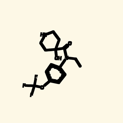 CCN(C(=O)C1(O)CCNCC1)c1ccc(OC(F)(F)F)cc1